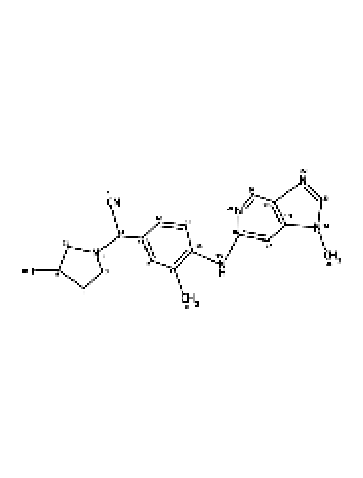 Cc1cc(C(C#N)N2CCC(I)C2)ccc1Nc1cc2c(cn1)ncn2C